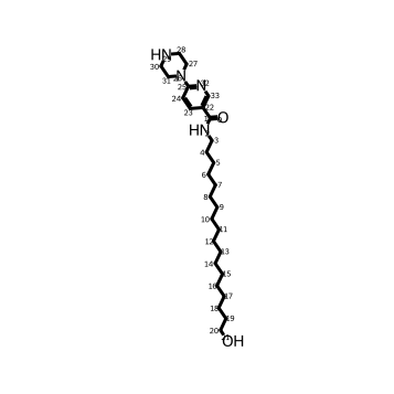 O=C(NCCCCCCCCCCCCCCCCCCO)c1ccc(N2CCNCC2)nc1